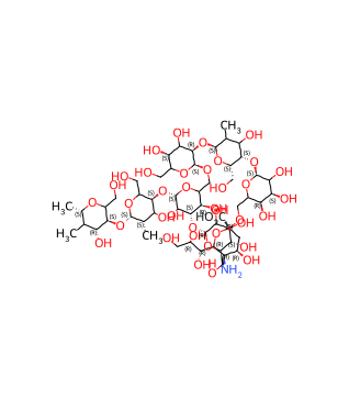 CC1C(O)[C@H](O[C@@H]2OC(CO[C@]3(C(=O)O)C[C@@H](O)[C@@H](N)C([C@H](O)[C@H](O)CO)O3)[C@H](O)[C@H](O)C2O)[C@H](CO)O[C@H]1O[C@@H]1C(O)[C@H](O)C(CO)O[C@@H]1OCC1O[C@@H](O[C@@H]2C(CO)O[C@@H](O[C@@H]3C(CO)O[C@@H](C)C(C)[C@H]3O)[C@@H](C)C2O)C(O)[C@@H](O[C@H]2O[C@H](CO)[C@@H](O)C(O)C2O)[C@@H]1O